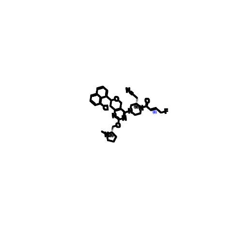 CN1CCC[C@H]1COc1nc2c(c(N3CCN(C(=O)/C=C/CF)[C@@H](CC#N)C3)n1)COC(c1cccc3cccc(Cl)c13)C2